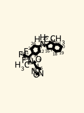 CN(C(=O)c1cnon1)[C@@H](c1ccc(NC2Cc3ccccc3C2(C)C)cc1)C(F)(F)F